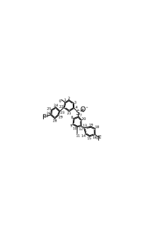 Cc1ccc([S+]([O-])c2ccc(C)c(-c3ccc(F)cc3)c2)cc1-c1ccc(F)cc1